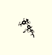 CCOC(=O)c1cc(NC(=O)C2(c3ccc(C(F)(F)F)cc3F)CC2)cc(F)c1-c1cnn([C@H](C)CC)c1